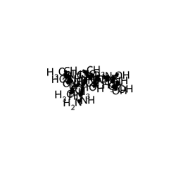 CC[C@H](C)[C@H](NC(=O)[C@@H](CCCNC(=N)N)NC(=O)[C@H](CC(C)C)NC(=O)[C@@H](N)[C@H](O)C(C)C)C(=O)N[C@H](C(=O)NCC(=O)N[C@@H](CO)C(=O)N[C@@H](CO)C(=O)O)[C@H](C)O